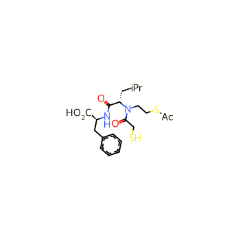 CC(=O)SCCN(C(=O)CS)[C@@H](CC(C)C)C(=O)N[C@@H](Cc1ccccc1)C(=O)O